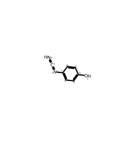 N=C=Nc1ccc(O)cc1